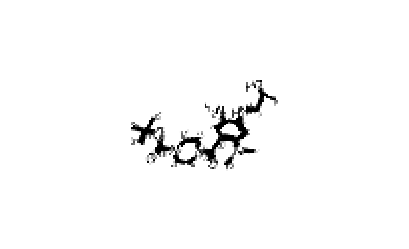 C[C@H](O)CNc1cc(N(C)C)c(C(=O)N2CCN(C(=O)OC(C)(C)C)CC2)cc1N